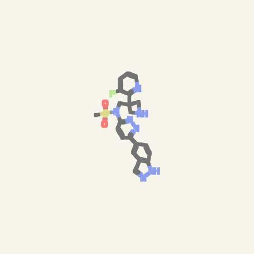 CS(=O)(=O)N(CC1(c2ncccc2F)CNC1)c1ccc(-c2ccc3[nH]ncc3c2)nn1